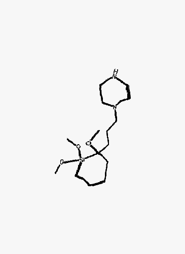 COC1(CCCN2CCNCC2)CCCC[Si]1(OC)OC